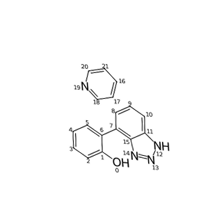 Oc1ccccc1-c1cccc2[nH]nnc12.c1ccncc1